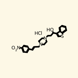 Cl.O=[N+]([O-])c1ccc(C=CCN2CCN(CCC(O)c3csc4ccccc34)CC2)cc1